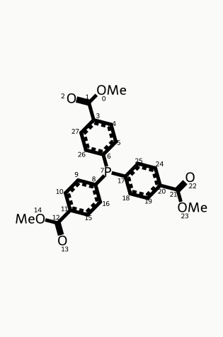 COC(=O)c1ccc(P(c2ccc(C(=O)OC)cc2)c2ccc(C(=O)OC)cc2)cc1